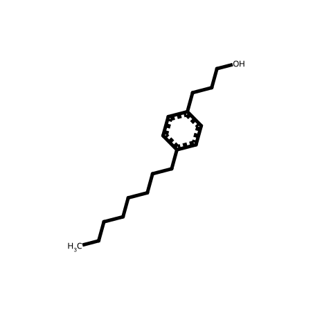 CCCCCCCCc1ccc(CCCO)cc1